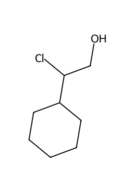 OCC(Cl)C1CCCCC1